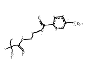 CCC(C)(C)C(=O)OCCOC(=O)c1ccc(C(=O)O)cc1